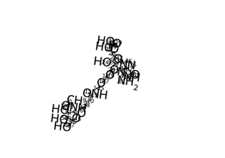 CC(=O)N[C@H]1[C@H](OCCCCC(=O)NCCOCCOCO[C@@H]2[C@H](O)[C@@H](COP(=O)(O)O)O[C@H]2n2cnc3c(=O)[nH]c(N)nc32)OC(CO)[C@H](O)[C@@H]1O